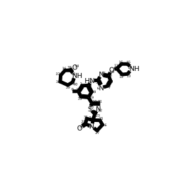 Cc1cc(Nc2nccc(OC3CCNCC3)n2)cc(-c2cnc(C34CCCN3C(=O)C4)s2)c1.O=C1CCCCCN1